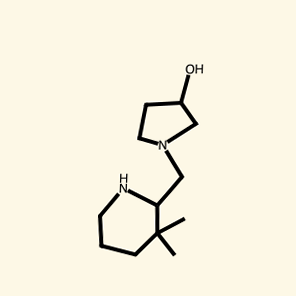 CC1(C)CCCNC1CN1CCC(O)C1